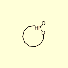 O=[PH]1CCCCCCCCCO1